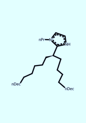 CCCCCCCCCCCCCCC[C@H](CCCCCCCCCCCCCC)c1[nH]cc[n+]1CCC